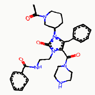 CC(=O)N1CCCC(n2c(-c3ccccc3)c(C(=O)N3CCNCC3)n(CCNC(=O)c3ccccc3)c2=O)C1